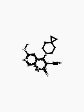 COc1cc2c(N3CCC4(CC3)CC4)c(C#N)c(=O)[nH]c2cn1